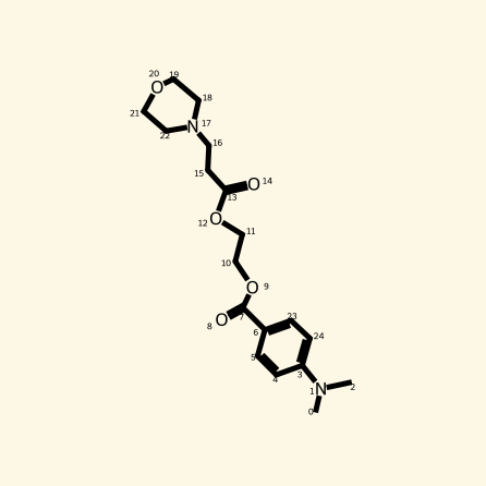 CN(C)c1ccc(C(=O)OCCOC(=O)CCN2CCOCC2)cc1